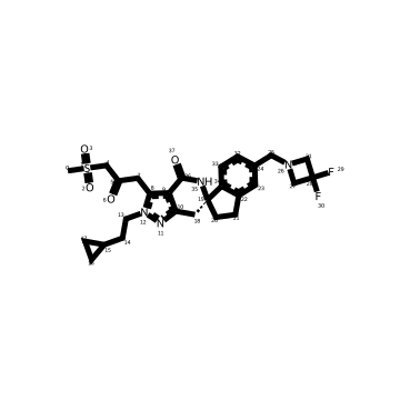 CS(=O)(=O)CC(=O)Cc1c2c(nn1CCC1CC1)C[C@]1(CCc3cc(CN4CC(F)(F)C4)ccc31)NC2=O